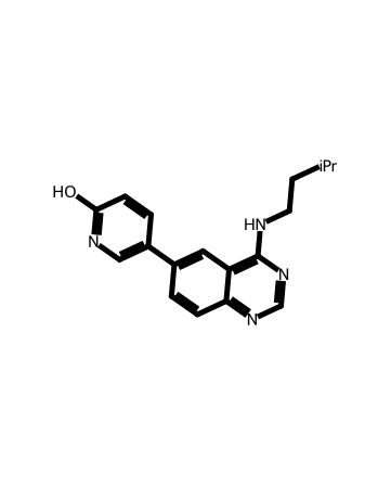 CC(C)CCNc1ncnc2ccc(-c3ccc(O)nc3)cc12